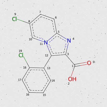 O=C(O)c1nc2ccc(Cl)cn2c1-c1ccccc1Cl